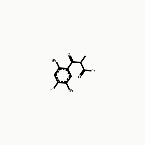 CCC(=O)C(C)C(=O)c1cc(C(C)C)c(C(C)C)cc1C(C)C